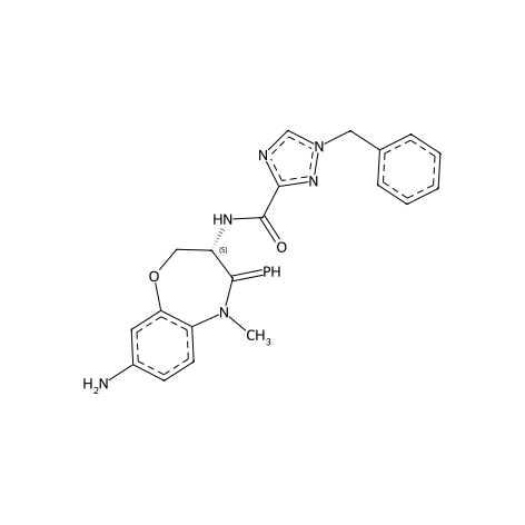 CN1C(=P)[C@@H](NC(=O)c2ncn(Cc3ccccc3)n2)COc2cc(N)ccc21